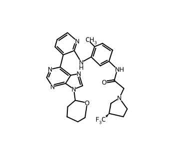 Cc1ccc(NC(=O)CN2CC[C@@H](C(F)(F)F)C2)cc1Nc1ncccc1-c1ncnc2c1ncn2C1CCCCO1